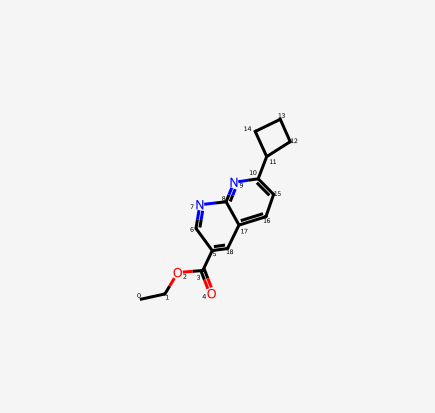 CCOC(=O)c1cnc2nc(C3CCC3)ccc2c1